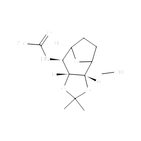 CC1(C)O[C@@H]2[C@@H](NC(=O)C(F)(F)F)[C@H]3CC[C@](CO)(O3)[C@@H]2O1